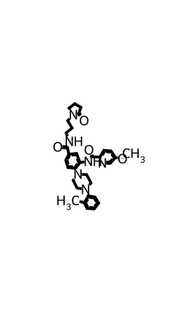 COc1ccc(C(=O)Nc2cc(C(=O)NCCCN3CCCC3=O)ccc2N2CCN(c3ccccc3C)CC2)nc1